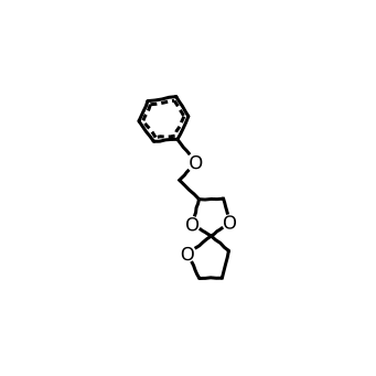 c1ccc(OCC2COC3(CCCO3)O2)cc1